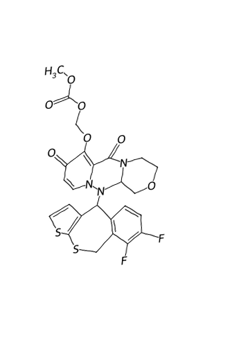 COC(=O)OCOc1c2n(ccc1=O)N(C1c3ccsc3SCc3c1ccc(F)c3F)C1COCCN1C2=O